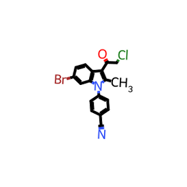 Cc1c(C(=O)CCl)c2ccc(Br)cc2n1-c1ccc(C#N)cc1